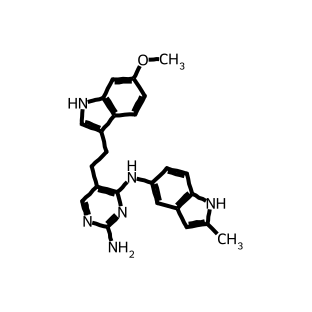 COc1ccc2c(CCc3cnc(N)nc3Nc3ccc4[nH]c(C)cc4c3)c[nH]c2c1